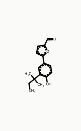 CCC(C)(C)c1cc(-c2ccc(C=O)o2)ccc1O